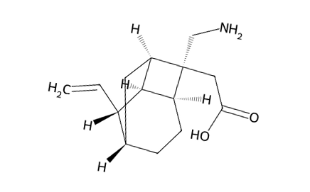 C=C[C@H]1[C@H]2CC[C@H]3[C@@H]1[C@@H](C2)[C@@]3(CN)CC(=O)O